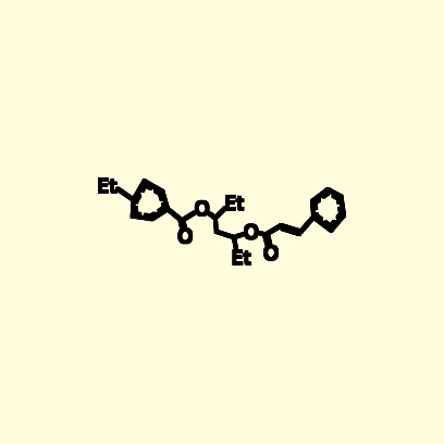 CCc1ccc(C(=O)OC(CC)CC(CC)OC(=O)C=Cc2ccccc2)cc1